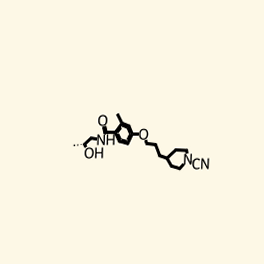 Cc1cc(OCCCC2CCN(C#N)CC2)ccc1C(=O)NC[C@@H](C)O